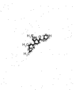 Cc1cn2nc(-c3ccc(C(=O)NC4CCNCC4)c4nn(C)cc34)cc(C)c2n1